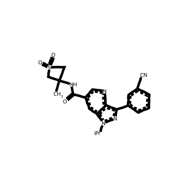 CC(C)n1nc(-c2cccc(C#N)c2)c2ncc(C(=O)NC3(C)CS(=O)(=O)C3)cc21